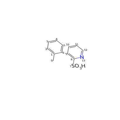 Cc1ccccc1.O=S(=O)(O)c1ccccn1